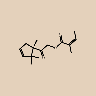 C/C=C(/C)C(=O)OCC(=O)[C@@]1(C)CC=CC1(C)C